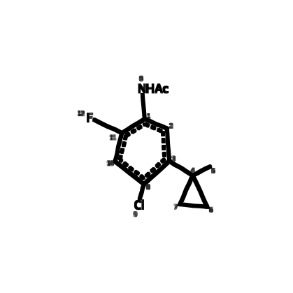 CC(=O)Nc1cc(C2(C)CC2)c(Cl)cc1F